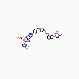 CC(C)(O)COc1cc2nn([C@H]3CC[C@H](CN4CCC(CCNc5cccc6c5C(=O)N(C5CCC(=O)NC5=O)C6=O)CC4)CC3)cc2cc1NC(=O)c1cccc(C(C)(F)F)n1